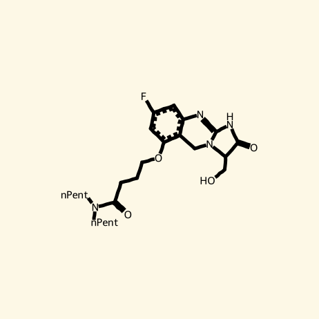 CCCCCN(CCCCC)C(=O)CCCOc1cc(F)cc2c1CN1C(=N2)NC(=O)C1CO